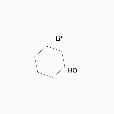 C1CCCCC1.[Li+].[OH-]